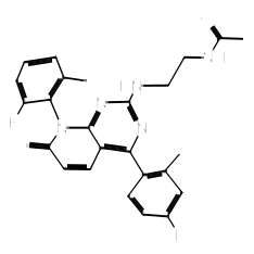 CC(=O)NCCNc1nc(-c2ccc(F)cc2C)c2ccc(=O)n(-c3c(F)cccc3F)c2n1